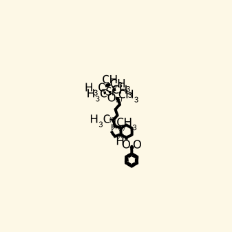 C[C@@H](CCC[C@H](C)[C@H]1CC[C@H]2C(OC(=O)c3ccccc3)CCC[C@]12C)O[Si](C)(C)C(C)(C)C